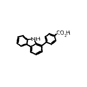 O=C(O)c1ccc(-c2cccc3c2[nH]c2ccccc23)cc1